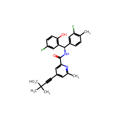 Cc1cc(C#CC(C)(C)C(=O)O)cc(C(=O)N[C@H](c2ccc(C)c(F)c2)c2cc(F)ccc2O)n1